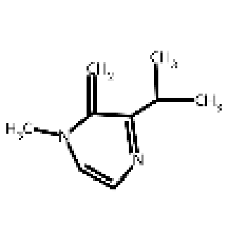 C=C1C(C(C)C)=NC=CN1C